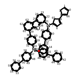 C1=CCC(C2=CC=C(N(c3ccc(-c4ccccc4)cc3)c3cccc4c3oc3c(-c5ccc(N(c6ccc(-c7ccccc7)cc6)c6ccc(-c7ccccc7)cc6)cc5)cccc34)C2)=C1